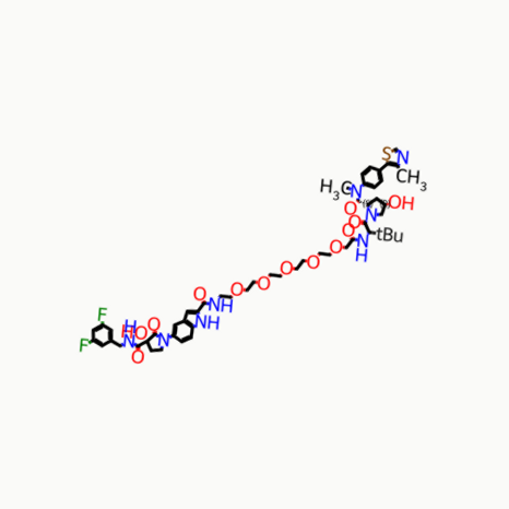 Cc1ncsc1-c1ccc(N(C)C(=O)[C@@H]2C[C@@H](O)CN2C(=O)C(NC(=O)COCCOCCOCCOCCOCCNC(=O)c2cc3cc(N4CCC(O)(C(=O)NCc5cc(F)cc(F)c5)C4=O)ccc3[nH]2)C(C)(C)C)cc1